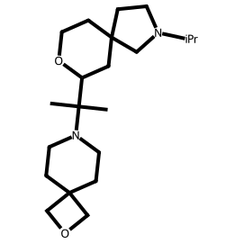 CC(C)N1CCC2(CCOC(C(C)(C)N3CCC4(CC3)COC4)C2)C1